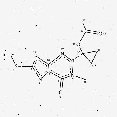 CSc1nc2c(=O)n(C)c(C3(OC(C)=O)CC3)nc2s1